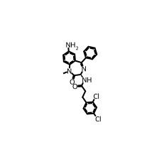 CN1C(=O)[C@H](NC(=O)CCc2ccc(Cl)cc2Cl)N=C(c2ccccc2)c2cc(N)ccc21